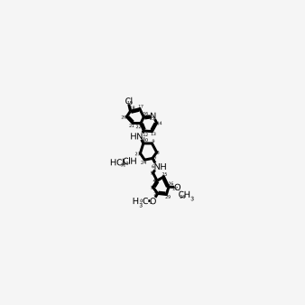 COc1cc(CNC2CCC(Nc3ccnc4cc(Cl)ccc34)CC2)cc(OC)c1.Cl.Cl